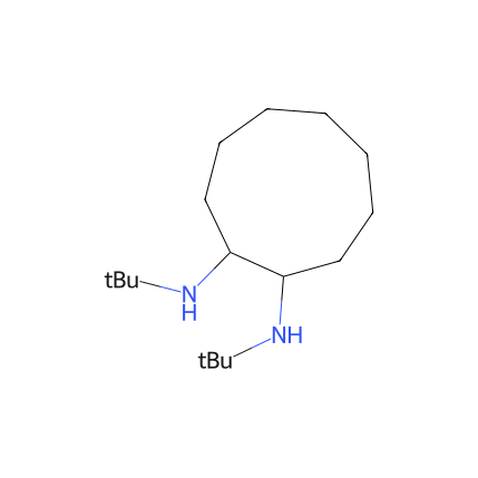 CC(C)(C)NC1CCCCCCCC1NC(C)(C)C